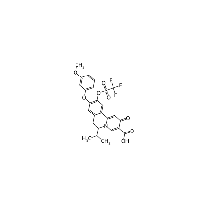 COc1cccc(Oc2cc3c(cc2OS(=O)(=O)C(F)(F)F)-c2cc(=O)c(C(=O)O)cn2C(C(C)C)C3)c1